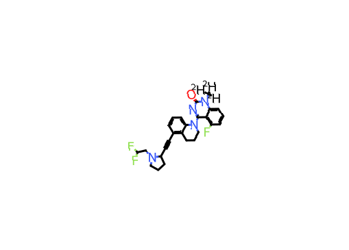 [2H]C([2H])([2H])n1c(=O)nc(N2CCCc3c(C#CC4CCCN4CC(F)F)cccc32)c2c(F)cccc21